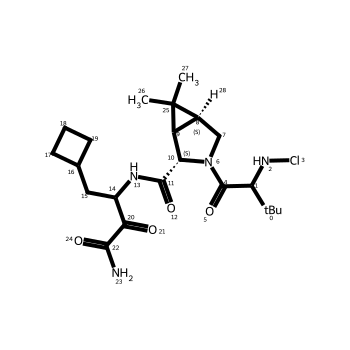 CC(C)(C)C(NCl)C(=O)N1C[C@H]2C([C@H]1C(=O)NC(CC1CCC1)C(=O)C(N)=O)C2(C)C